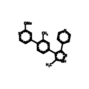 COc1cc(-c2ccc(-c3c(-c4ccncc4)n[nH]c3C)cc2C)ccn1